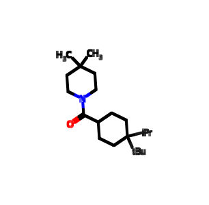 CC(C)C1(C(C)(C)C)CCC(C(=O)N2CCC(C)(C)CC2)CC1